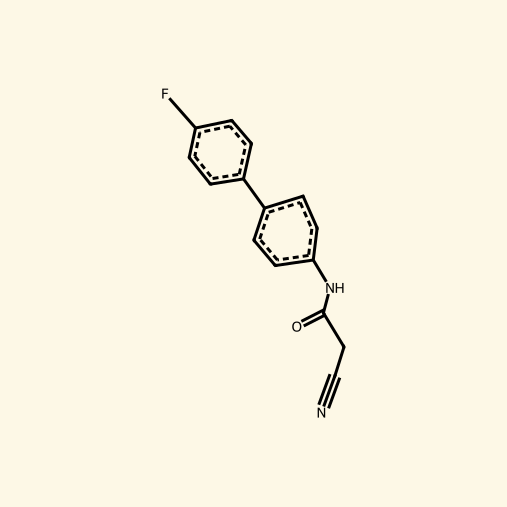 N#CCC(=O)Nc1ccc(-c2ccc(F)cc2)cc1